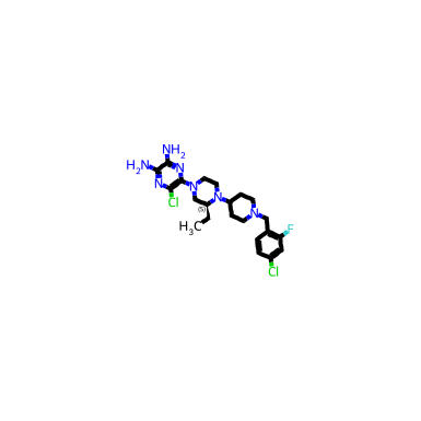 CC[C@H]1CN(c2nc(N)c(N)nc2Cl)CCN1C1CCN(Cc2ccc(Cl)cc2F)CC1